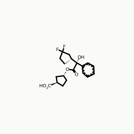 O=C(O)[C@@H]1CC[C@@H](OC(=O)[C@](O)(c2ccccc2)[C@@H]2CCC(F)(F)C2)C1